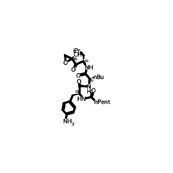 CCCCCC(=O)N[C@@H](Cc1ccc(N)cc1)C(=O)N[C@@H](CCCC)C(=O)N[C@@H](CC(C)C)C(=O)[C@@]1(C)CO1